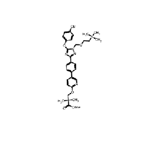 COC(=O)C(C)(C)COc1ccc(-c2ccc(-c3nc(Oc4ccc(C#N)cc4)n(COCC[Si](C)(C)C)n3)cc2)cn1